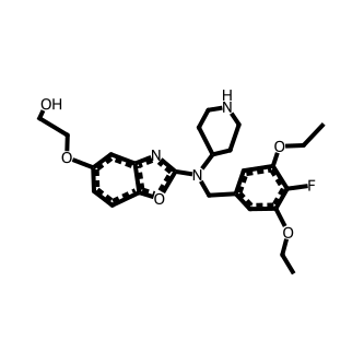 CCOc1cc(CN(c2nc3cc(OCCO)ccc3o2)C2CCNCC2)cc(OCC)c1F